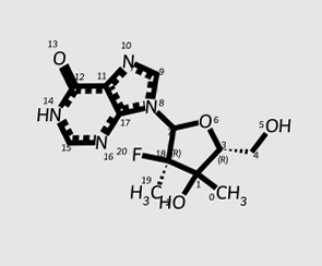 CC1(O)[C@@H](CO)OC(n2cnc3c(=O)[nH]cnc32)[C@]1(C)F